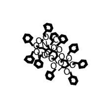 C[C@H]1O[C@@H](O[C@@H]2[C@@H](OCc3ccccc3)[C@](OCc3ccccc3)(C3CN(C(=O)OCc4ccccc4)C(C(OCc4ccccc4)OCc4ccccc4)C3OCc3ccccc3)[C@@H](O)O[C@@H]2COCc2ccccc2)[C@H](OCc2ccccc2)[C@@H](OCc2ccccc2)[C@@H]1OCc1ccccc1